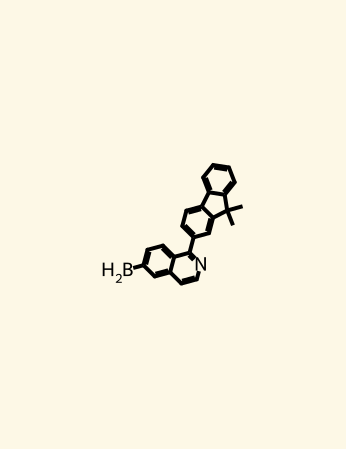 Bc1ccc2c(-c3ccc4c(c3)C(C)(C)c3ccccc3-4)nccc2c1